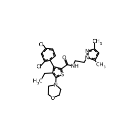 CCc1c(N2CCOCC2)sc(C(=O)NCCn2nc(C)cc2C)c1-c1ccc(Cl)cc1Cl